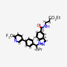 CCCC(c1ccc(-c2ccc(C(F)(F)F)nc2)cc1)n1ncc2cc(C(=O)NCCC(=O)OCC)ccc21